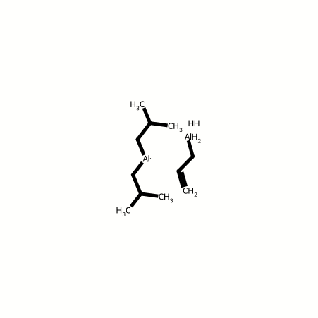 C=C[CH2][AlH2].CC(C)[CH2][Al][CH2]C(C)C.[HH]